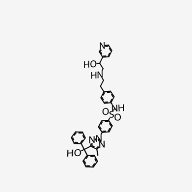 Cc1nn(-c2ccc(S(=O)(=O)Nc3ccc(CCNCC(O)c4cccnc4)cc3)cc2)nc1C(O)(c1ccccc1)c1ccccc1